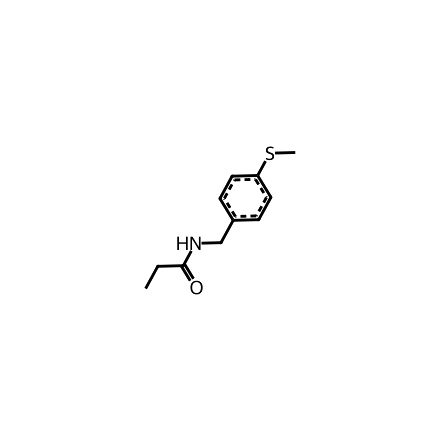 CCC(=O)NCc1ccc(SC)cc1